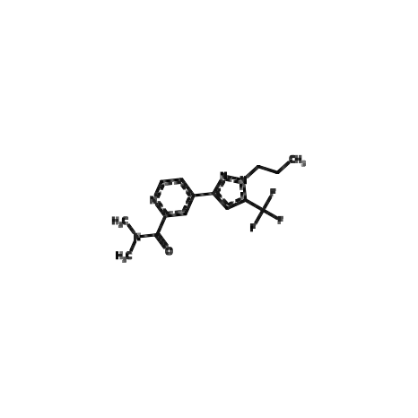 CCCn1nc(-c2ccnc(C(=O)N(C)C)c2)cc1C(F)(F)F